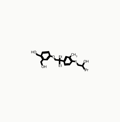 CCC(CC)(COc1ccc(CO)c(CO)c1)c1ccc(SCC(O)C(C)C)c(C)c1